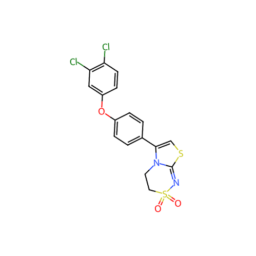 O=S1(=O)CCN2C(c3ccc(Oc4ccc(Cl)c(Cl)c4)cc3)=CSC2=N1